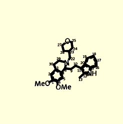 COc1cc2c(cc1OC)C(CCc1c(C)[nH]c3ccccc13)N(CC1CCOCC1)CC2